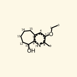 CCOc1cc2c(nc1C)C(O)CCCC2